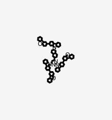 c1ccc2c(c1)oc1ccc(-c3ccc4c5ccccc5n(-c5ccc6cc(-c7cc(-n8c9ccccc9c9ccc(-c%10ccc%11oc%12ccccc%12c%11c%10)cc98)nc(-n8c9ccccc9c9ccc(-c%10ccc%11oc%12ccccc%12c%11c%10)cc98)n7)ccc6c5)c4c3)cc12